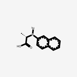 [2H]N(c1ccc2ccccc2c1)[C@@H](C)C(=O)O